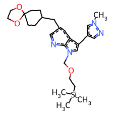 Cn1cc(-c2cn(COCC[Si](C)(C)C)c3ncc(CC4CCC5(CC4)OCCO5)cc23)cn1